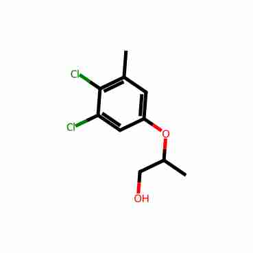 Cc1cc(OC(C)CO)cc(Cl)c1Cl